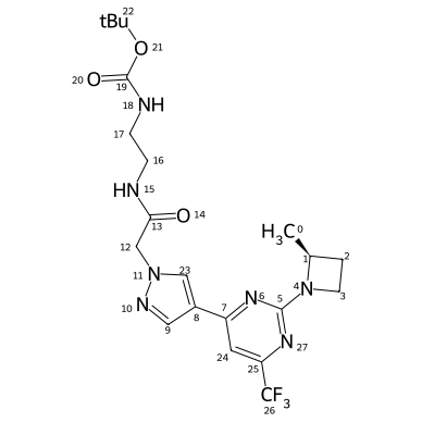 C[C@H]1CCN1c1nc(-c2cnn(CC(=O)NCCNC(=O)OC(C)(C)C)c2)cc(C(F)(F)F)n1